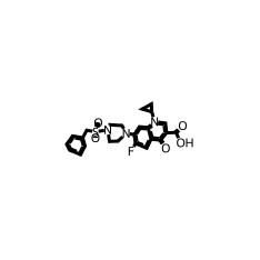 O=C(O)c1cn(C2CC2)c2cc(N3CCN(S(=O)(=O)Cc4ccccc4)CC3)c(F)cc2c1=O